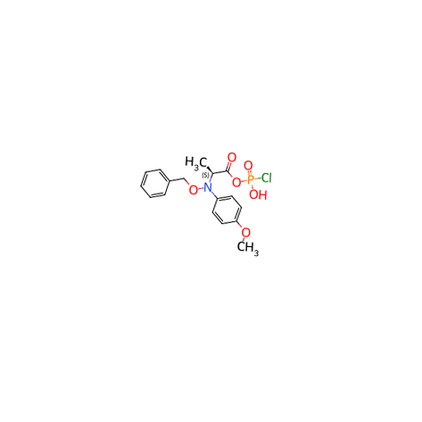 COc1ccc(N(OCc2ccccc2)[C@@H](C)C(=O)OP(=O)(O)Cl)cc1